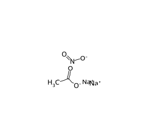 CC(=O)[O-].O=N[O-].[Na+].[Na+]